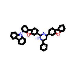 c1ccc(C2CC(c3ccc4c(c3)oc3ccccc34)=NC(c3ccc4c(c3)oc3c(-n5c6ccccc6c6ccccc65)cccc34)N2)cc1